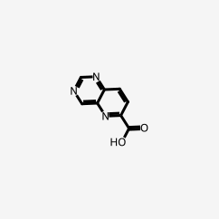 O=C(O)c1ccc2ncncc2n1